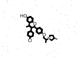 CC1=C(c2ccc(Cl)cc2)C(c2ccc(OCC(C)N3CC[C@@H](C)C3)cc2)Oc2ccc(O)cc21